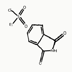 CCS(=O)(=O)Cl.O=C1NC(=O)c2ccccc21